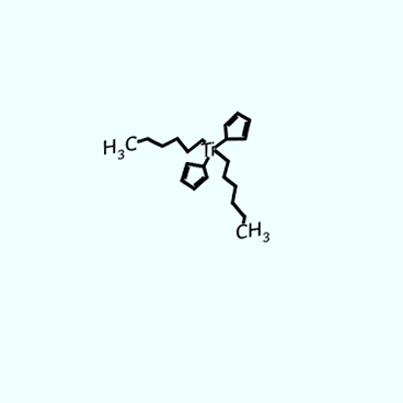 CCCCC[CH2][Ti]([CH2]CCCCC)([CH]1C=CC=C1)[CH]1C=CC=C1